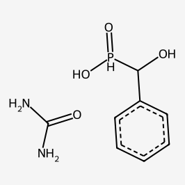 NC(N)=O.O=[PH](O)C(O)c1ccccc1